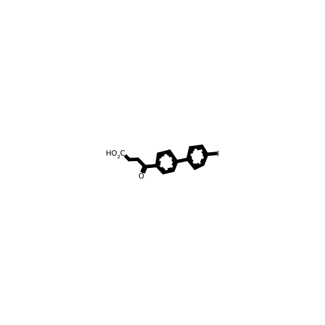 O=C(O)CCC(=O)c1ccc(-c2ccc(I)cc2)cc1